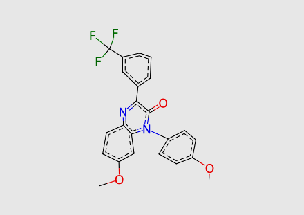 COc1ccc(-n2c(=O)c(-c3cccc(C(F)(F)F)c3)nc3ccc(OC)cc32)cc1